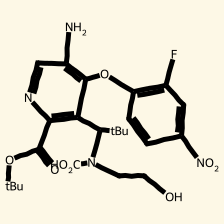 CC(C)(C)OC(=O)c1ncc(N)c(Oc2ccc([N+](=O)[O-])cc2F)c1C(N(CCO)C(=O)O)C(C)(C)C